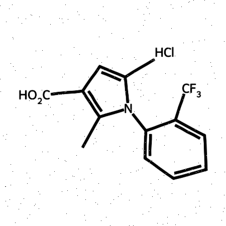 Cc1cc(C(=O)O)c(C)n1-c1ccccc1C(F)(F)F.Cl